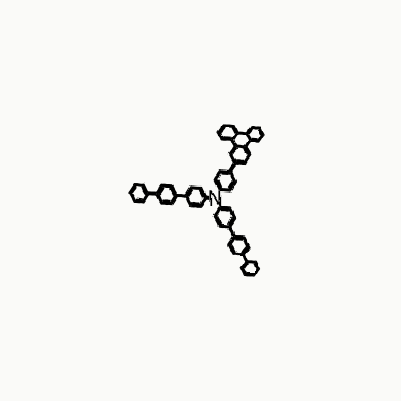 c1ccc(-c2ccc(-c3ccc(N(c4ccc(-c5ccc(-c6ccccc6)cc5)cc4)c4ccc(-c5ccc6c7ccccc7c7ccccc7c6c5)cc4)cc3)cc2)cc1